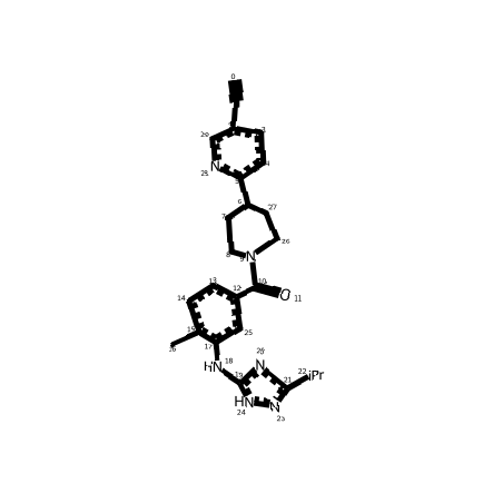 C#Cc1ccc(C2CCN(C(=O)c3ccc(C)c(Nc4nc(C(C)C)n[nH]4)c3)CC2)nc1